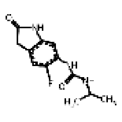 CC(C)NC(=O)Nc1cc2c(cc1F)CC(=O)N2